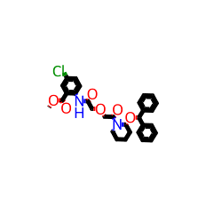 COC(=O)c1cc(Cl)ccc1NC(=O)COCC(=O)N1CCCCC1OC(c1ccccc1)c1ccccc1